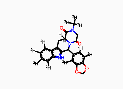 [2H]c1c([2H])c(C2c3[nH]c4c([2H])c([2H])c([2H])c([2H])c4c3C[C@@H]3C(=O)N(C([2H])([2H])[2H])CC(=O)N23)c([2H])c2c1OCO2